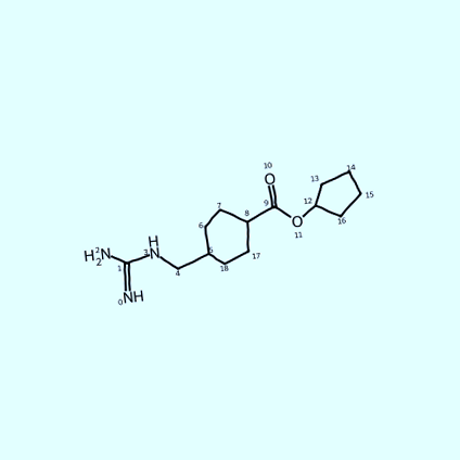 N=C(N)NCC1CCC(C(=O)OC2CCCC2)CC1